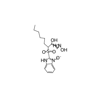 CCCCCCC(C(=O)O)S(=O)(=O)c1[nH]c2ccccc2[n+]1[O-].NO